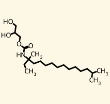 CCC(C)(CCCCCCCCCCC(C)C)NC(=O)OCC(O)CO